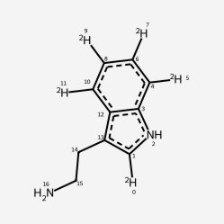 [2H]c1[nH]c2c([2H])c([2H])c([2H])c([2H])c2c1CCN